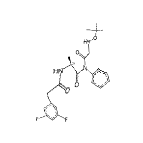 C[C@H](NC(=O)Cc1cc(F)cc(F)c1)C(=O)N(C(=O)CNOC(C)(C)C)c1ccccc1